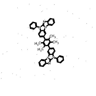 Cc1c(C)c(-c2ccc3c(c2)n2c4ccccc4nc2n3-c2ccccc2)c(C)c(C)c1-c1ccc2c(c1)n1c3ccccc3nc1n2-c1ccccc1